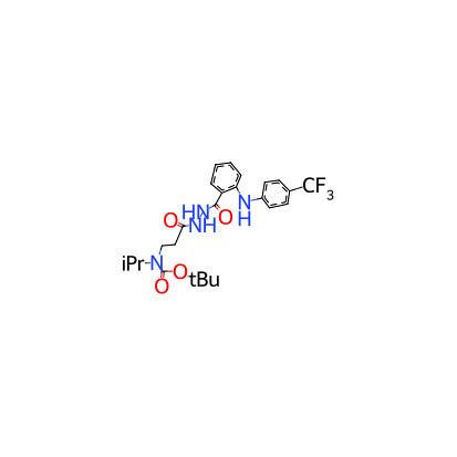 CC(C)N(CCC(=O)NNC(=O)c1ccccc1Nc1ccc(C(F)(F)F)cc1)C(=O)OC(C)(C)C